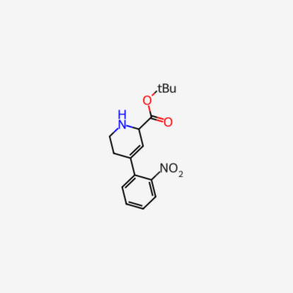 CC(C)(C)OC(=O)C1C=C(c2ccccc2[N+](=O)[O-])CCN1